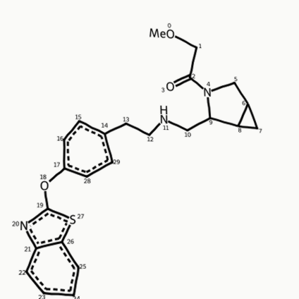 COCC(=O)N1CC2CC2C1CNCCc1ccc(Oc2nc3ccccc3s2)cc1